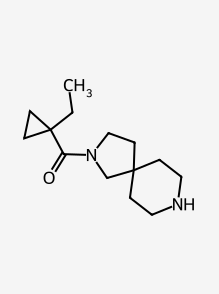 CCC1(C(=O)N2CCC3(CCNCC3)C2)CC1